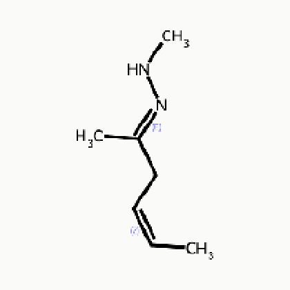 C/C=C\C/C(C)=N/NC